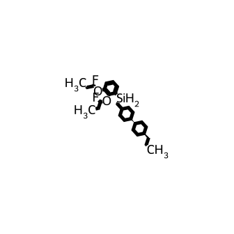 CCC[C@H]1CC[C@H](C2CCC(C[SiH2]c3cccc(OC(F)CC)c3OC(F)CC)CC2)CC1